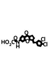 O=C(O)C(=O)Nc1ccc2c(=O)c3c(oc2c1)/C(=C/c1ccc(Cl)c(Cl)c1)CC3